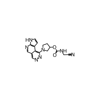 N#CCNC(=O)OC1CCN(c2nncc3cnc4[nH]ccc4c23)C1